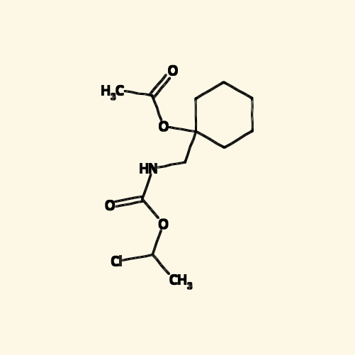 CC(=O)OC1(CNC(=O)OC(C)Cl)CCCCC1